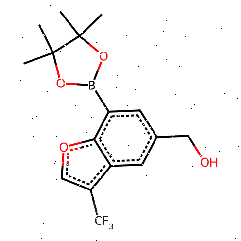 CC1(C)OB(c2cc(CO)cc3c(C(F)(F)F)coc23)OC1(C)C